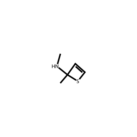 CNC1(C)C=CS1